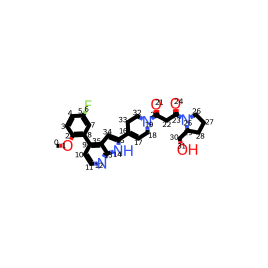 COc1ccc(F)cc1-c1ccnc2[nH]c(C3=CCN(C(=O)CC(=O)N4CCCC4CO)CC3)cc12